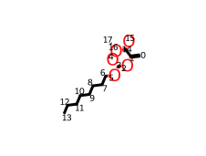 C=C(OC(=O)OCCCCCCCC)C(=O)OC